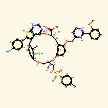 COc1ccccc1-c1nccc(COc2ccc3cc2C[C@H](C(=O)O)Oc2ncnc4sc(-c5ccc(F)cc5)c(c24)-c2ccc(c(Cl)c2C)OC[C@H](COS(=O)(=O)c2ccc(C)cc2)O3)n1